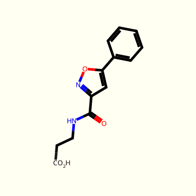 O=C(O)CCNC(=O)c1cc(-c2ccccc2)on1